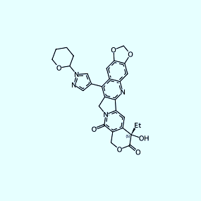 CC[C@@]1(O)C(=O)OCc2c1cc1n(c2=O)Cc2c-1nc1cc3c(cc1c2-c1cnn(C2CCCCO2)c1)OCO3